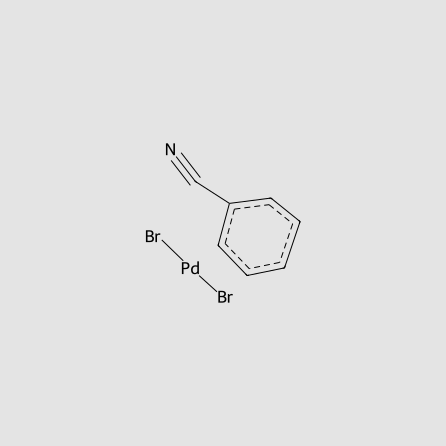 N#Cc1ccccc1.[Br][Pd][Br]